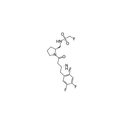 N[C@@H](CC(=O)N1CCC[C@H]1CNS(=O)(=O)CF)Cc1cc(F)c(F)cc1F